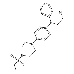 CCS(=O)(=O)N1CCN(c2ccc(N3CCNc4ccccc43)nc2)CC1